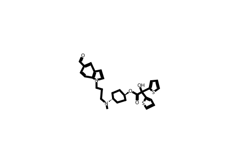 CN(CCCn1ccc2cc(C=O)ccc21)[C@H]1CC[C@H](OC(=O)C(O)(c2cccs2)c2cccs2)CC1